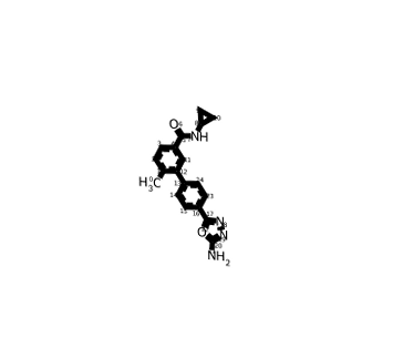 Cc1ccc(C(=O)NC2CC2)cc1-c1ccc(-c2nnc(N)o2)cc1